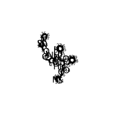 CC(C)[C@H](NC(=O)OCc1csc(N2CCCC2)n1)C(=O)N[C@@H](Cc1ccccc1)[C@@H](O)[C@@H](O)[C@H](Cc1ccccc1)NC(=O)OCc1cncs1